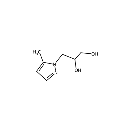 Cc1ccnn1CC(O)CO